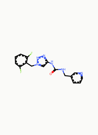 O=C(NCc1cccnc1)Nc1cn(Cc2c(F)cccc2F)nn1